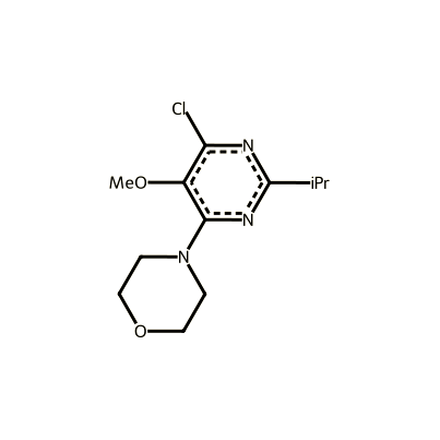 COc1c(Cl)nc(C(C)C)nc1N1CCOCC1